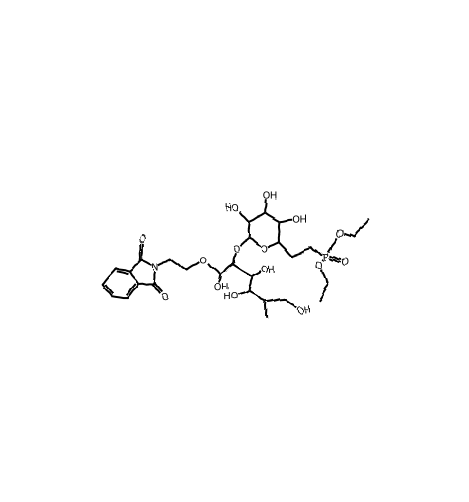 CCOP(=O)(CCC1OC(OC(C(O)OCCN2C(=O)c3ccccc3C2=O)C(O)C(O)C(C)CO)C(O)C(O)C1O)OCC